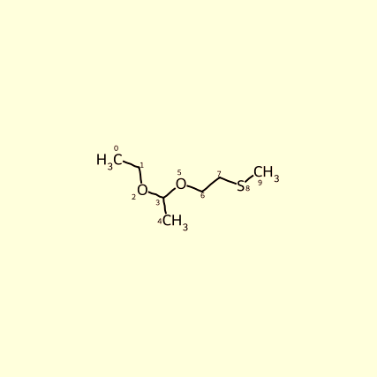 CCOC(C)OCCSC